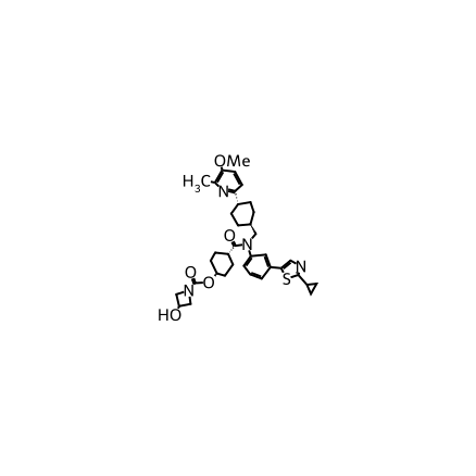 COc1ccc([C@H]2CC[C@H](CN(c3cccc(-c4cnc(C5CC5)s4)c3)C(=O)[C@H]3CC[C@H](OC(=O)N4CC(O)C4)CC3)CC2)nc1C